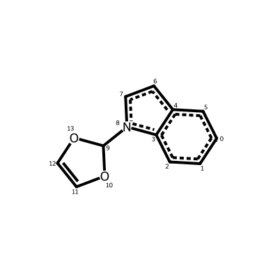 [c]1ccc2c(c1)ccn2C1OC=CO1